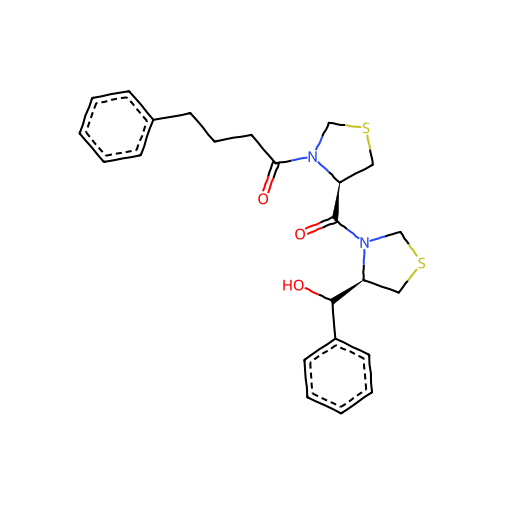 O=C(CCCc1ccccc1)N1CSC[C@H]1C(=O)N1CSC[C@H]1C(O)c1ccccc1